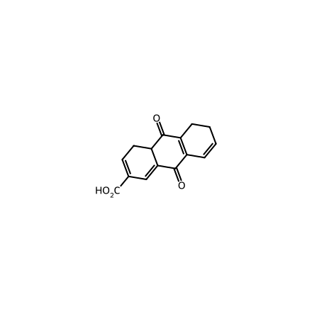 O=C(O)C1=CCC2C(=O)C3=C(C=CCC3)C(=O)C2=C1